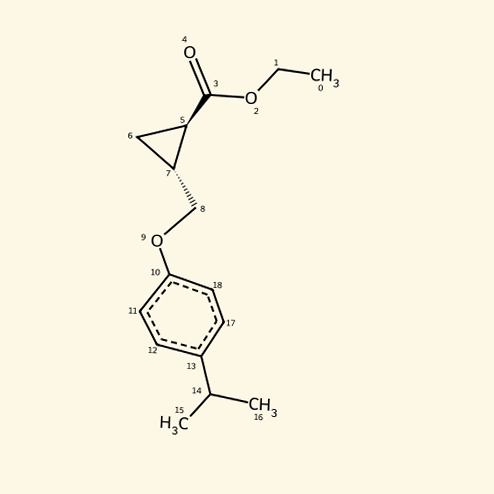 CCOC(=O)[C@@H]1C[C@H]1COc1ccc(C(C)C)cc1